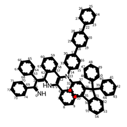 N=C(/C(=C1\NC(c2ccccc2)=C(N(c2ccc(-c3ccc(-c4ccccc4)cc3)cc2)c2ccc3c(c2)C(c2ccccc2)(c2ccccc2)c2ccccc2-3)c2ccccc21)c1ccccc1)c1ccccc1